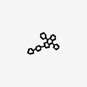 [c]1ccccc1-c1ccc(-c2ccc3c(-c4ccccc4)c4ccccc4c(-c4ccccc4)c3c2)cc1